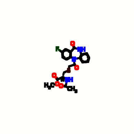 COC(=O)[C@H](CSCC(=O)N1c2ccccc2NC(=O)c2cc(F)ccc21)NC(C)=O